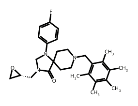 Cc1c(C)c(C)c(CN2CCC3(CC2)C(=O)N(C[C@@H]2CO2)CN3c2ccc(F)cc2)c(C)c1C